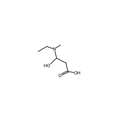 CCN(C)C(O)CC(=O)O